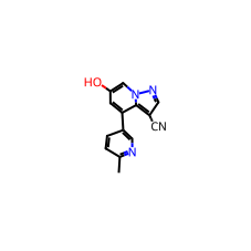 Cc1ccc(-c2cc(O)cn3ncc(C#N)c23)cn1